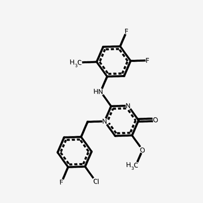 COc1cn(Cc2ccc(F)c(Cl)c2)c(Nc2cc(F)c(F)cc2C)nc1=O